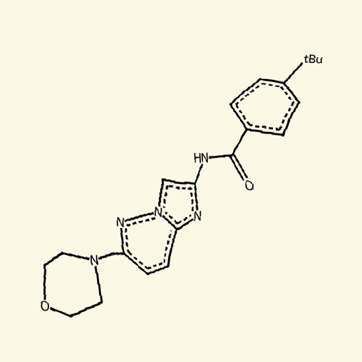 CC(C)(C)c1ccc(C(=O)Nc2cn3nc(N4CCOCC4)ccc3n2)cc1